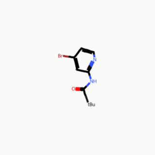 CC(C)(C)C(=O)Nc1[c]c(Br)ccn1